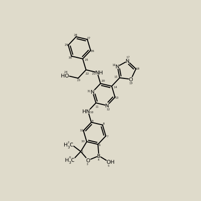 CC1(C)OB(O)c2ccc(Nc3ncc(-c4nnco4)c(NC(CO)c4ccccc4)n3)cc21